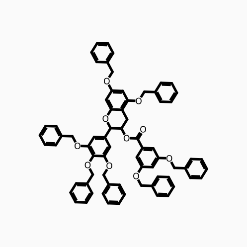 O=C(OC1Cc2c(OCc3ccccc3)cc(OCc3ccccc3)cc2OC1c1cc(OCc2ccccc2)c(OCc2ccccc2)c(OCc2ccccc2)c1)c1cc(OCc2ccccc2)cc(OCc2ccccc2)c1